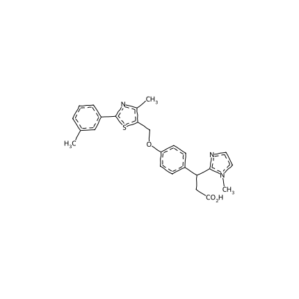 Cc1cccc(-c2nc(C)c(COc3ccc(C(CC(=O)O)c4nccn4C)cc3)s2)c1